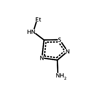 CCNc1nc(N)ns1